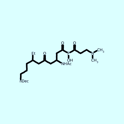 CCCCCCCCCCCCCC(CC)CC(=O)CC(CC(=O)P(O)C(=O)CCN(C)C)NC(C)=O